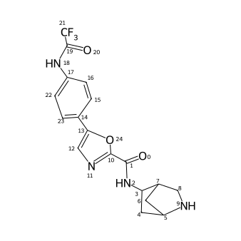 O=C(NC1CC2CC1CN2)c1ncc(-c2ccc(NC(=O)C(F)(F)F)cc2)o1